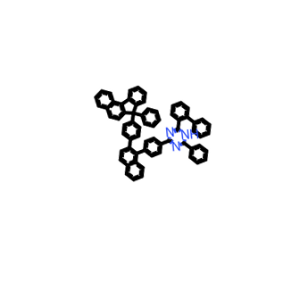 c1ccc(-c2ccccc2C2=NC(c3ccc(-c4c(-c5ccc(C6(c7ccccc7)c7ccccc7-c7c6ccc6ccccc76)cc5)ccc5ccccc45)cc3)=NC(c3ccccc3)N2)cc1